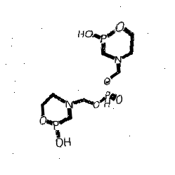 O=[PH](OCN1CCOP(O)C1)OCN1CCOP(O)C1